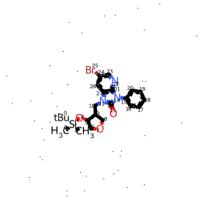 CC(C)(C)[Si](C)(C)OC1COCC1Cn1c(=O)n(-c2ccccc2)c2ncc(Br)cc21